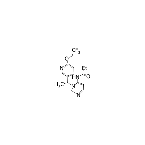 CCC(=O)NC1=CC=NCN1C(C)c1ccc(OCC(F)(F)F)nc1